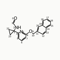 O=CNC1(c2cccc(OCc3ccc4ccccc4c3)n2)CC1